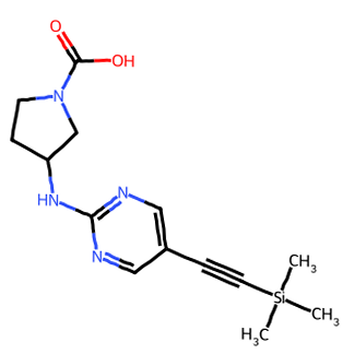 C[Si](C)(C)C#Cc1cnc(NC2CCN(C(=O)O)C2)nc1